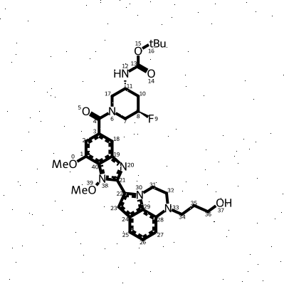 COc1cc(C(=O)N2C[C@H](F)C[C@@H](NC(=O)OC(C)(C)C)C2)cc2nc(-c3cc4cccc5c4n3CCN5CCCO)n(OC)c12